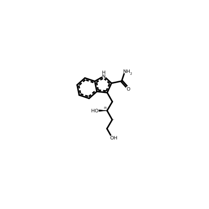 NC(=O)c1[nH]c2ccccc2c1C[C@H](O)[CH]CO